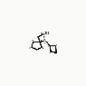 OCC1(NC2CCC2)CCCC1